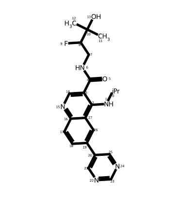 CC(C)Nc1c(C(=O)NCC(F)C(C)(C)O)cnc2ccc(-c3cncnc3)cc12